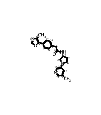 Cc1ncoc1-c1ccc(CC(=O)N[C@@H]2CCN(c3cncc(C(F)(F)F)c3)C2)cc1